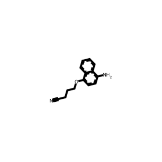 N#CCCCOc1ccc(N)c2ccccc12